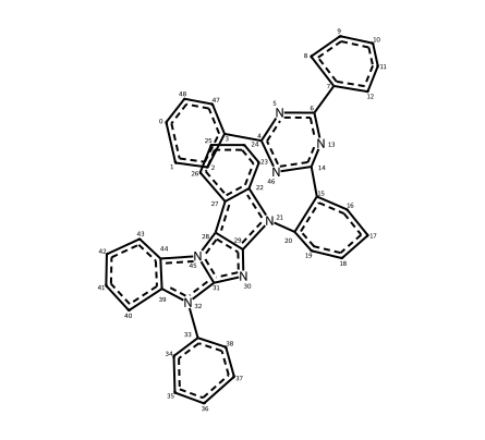 c1ccc(-c2nc(-c3ccccc3)nc(-c3ccccc3-n3c4ccccc4c4c3nc3n(-c5ccccc5)c5ccccc5n43)n2)cc1